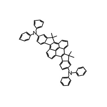 CC1(C)c2cc(N(c3ccccc3)c3ccccc3)ccc2-c2c1c1cccc3c4c(c5cccc2c5c13)-c1ccc(N(c2ccccc2)c2ccccc2)cc1C4(C)C